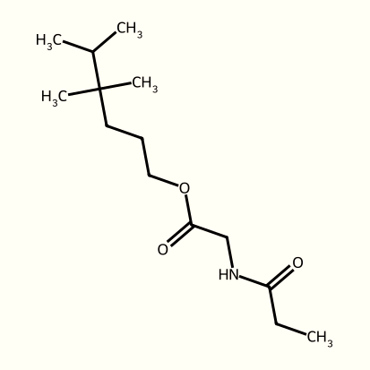 CCC(=O)NCC(=O)OCCCC(C)(C)C(C)C